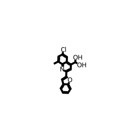 Cc1cc(Cl)cc2c(C(O)O)cc(-c3cc4ccccc4o3)nc12